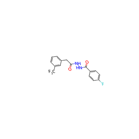 O=C(Cc1cccc(C(F)(F)F)c1)NNC(=O)c1ccc(F)cc1